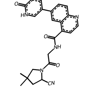 CC1(C)CC(C#N)N(C(=O)CNC(=O)c2ccnc3ccc(-c4ccc(=O)[nH]c4)cc23)C1